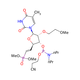 CCCN(CCC)P(OCCC#N)O[C@H]1[C@@H](OCCOC)[C@H](n2cc(C)c(=O)[nH]c2=O)O[C@@H]1/C=C/P(=O)(OC)OC